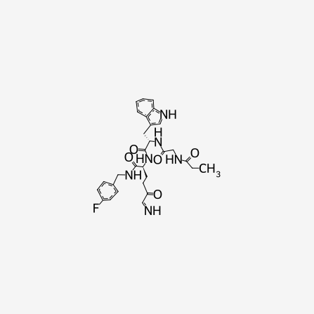 CCC(=O)NCC(=O)N[C@@H](Cc1c[nH]c2ccccc12)C(=O)N[C@@H](CCC(=O)C=N)C(=O)NCc1ccc(F)cc1